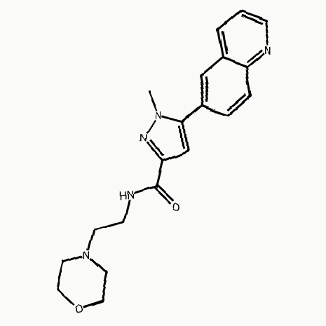 Cn1nc(C(=O)NCCN2CCOCC2)cc1-c1ccc2ncccc2c1